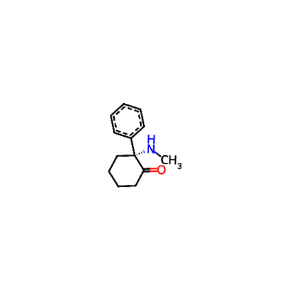 CN[C@@]1(c2ccccc2)CCCCC1=O